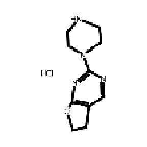 Cl.c1nc(N2CCNCC2)nc2c1CCO2